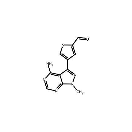 Cn1nc(-c2csc(C=O)c2)c2c(N)ncnc21